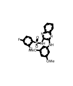 COc1cc(Nc2nc3ccccc3nc2NS(=O)(=O)c2ccc(F)cc2Cl)cc(OC)c1